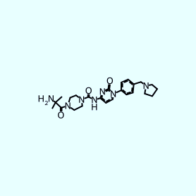 CC(C)(N)C(=O)N1CCN(C(=O)Nc2ccn(-c3ccc(CN4CCCC4)cc3)c(=O)n2)CC1